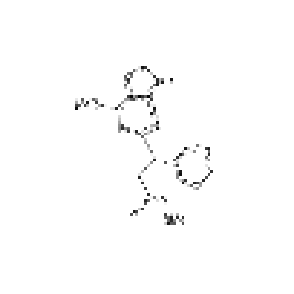 CNOC(=O)CC(c1ccccc1)c1cc(OC)c2cc[nH]c2c1